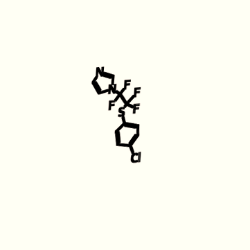 FC(F)(Sc1ccc(Cl)cc1)C(F)(F)n1ccnc1